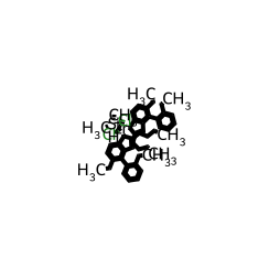 CCCCC1=Cc2c(ccc(CC)c2-c2ccccc2CC)[CH]1[Zr]([Cl])([Cl])([CH]1C(CCCC)=Cc2c1ccc(CC)c2-c1ccccc1CC)[SiH](C)C